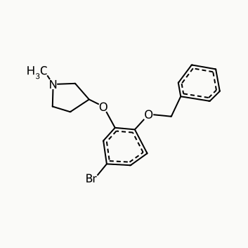 CN1CCC(Oc2cc(Br)ccc2OCc2ccccc2)C1